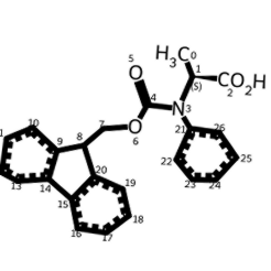 C[C@@H](C(=O)O)N(C(=O)OCC1c2ccccc2-c2ccccc21)c1ccccc1